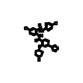 O=C(Nc1ccc(Cl)cn1)c1cc(Cl)ccc1NC(=O)c1ccc(-c2ccsc2)cc1OC1CCNCC1